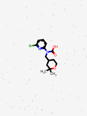 CC1(C)CC(CN(C(=O)O)c2cccc(Br)n2)CCO1